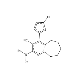 CCN(CC)c1nc2c(c(-c3ccc(Cl)s3)c1C#N)CCCCC2